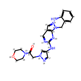 Nc1ccccc1Cn1ncc2cnc(Nc3cnn(CC(=O)N4CCOCC4)c3)nc21